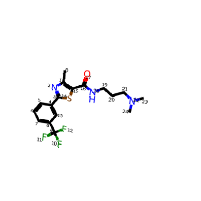 Cc1nc(-c2cccc(C(F)(F)F)c2)sc1C(=O)NCCCN(C)C